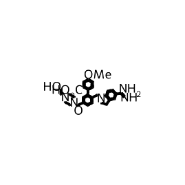 COc1ccc(-c2cc(C(=O)N3CCN(CCO)CC3)ccc2CN2CCc3cc(C(=N)N)ccc32)c(C(=O)O)c1